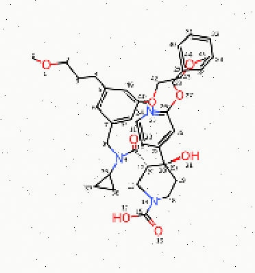 COCCCc1cc(CN(C(=O)[C@H]2CN(C(=O)O)CC[C@@]2(O)c2ccnc(OCc3ccccc3)c2)C2CC2)cc(OCCOC)c1